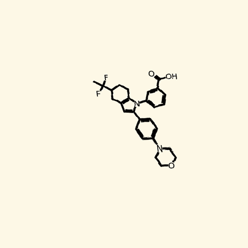 CC(F)(F)C1CCc2c(cc(-c3ccc(N4CCOCC4)cc3)n2-c2cccc(C(=O)O)c2)C1